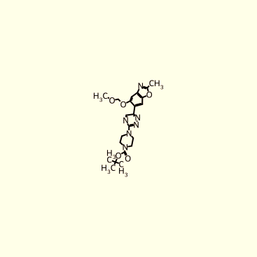 COCOc1cc2nc(C)oc2cc1-c1cnc(N2CCN(C(=O)OC(C)(C)C)CC2)nn1